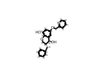 Cl.O[C@@H]1c2cc(OCc3ccccn3)ccc2OC[C@H]1Cc1ccccc1